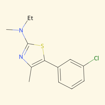 CCN(C)c1nc(C)c(-c2cccc(Cl)c2)s1